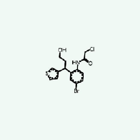 O=C(CCl)Nc1ccc(Br)cc1C(CCO)c1ccsc1